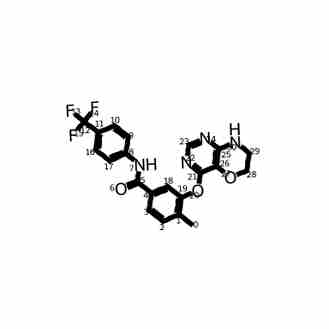 Cc1ccc(C(=O)Nc2ccc(C(F)(F)F)cc2)cc1Oc1ncnc2c1OCCN2